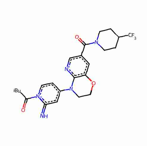 CCC(C)C(=O)n1ccc(N2CCOc3cc(C(=O)N4CCC(C(F)(F)F)CC4)cnc32)cc1=N